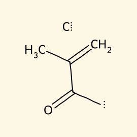 [C].[C]C(=O)C(=C)C